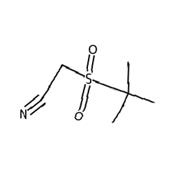 CC(C)(C)S(=O)(=O)CC#N